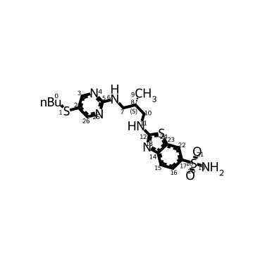 CCCCSc1cnc(NC[C@H](C)CNc2nc3ccc(S(N)(=O)=O)cc3s2)nc1